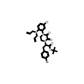 C=CCN(CC=C)c1ccc(Cl)cc1N1CCN(C(Cc2ccc(Br)cc2)C(=O)OC(C)(C)C)C(=O)C1=O